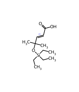 CC[Si](CC)(CC)OC(C)(C)/C=C/C(=O)O